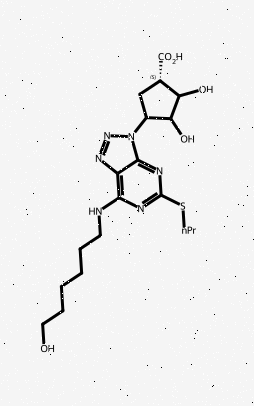 CCCSc1nc(NCCCCCCO)c2nnn(C3C[C@H](C(=O)O)C(O)C3O)c2n1